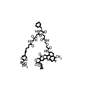 Cc1c(F)cc2nc3c(c4c2c1CC[C@@H]4NC(=O)COCNC(=O)CNC(=O)[C@H](Cc1ccccc1)NC(=O)CNC(=O)CNC(=O)CCCC#Cc1cnc(S(C)(=O)=O)nc1)Cn1c-3cc2c(c1=O)COC(=O)[C@]2(O)CC1CC1